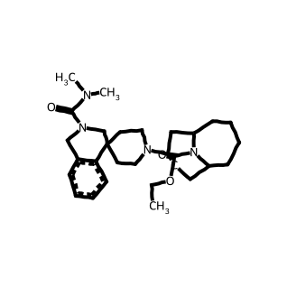 CCOC(=O)N1C2CCCCC1CC(N1CCC3(CC1)CN(C(=O)N(C)C)Cc1ccccc13)CC2